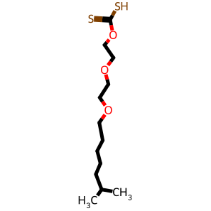 CC(C)CCCCCOCCOCCOC(=S)S